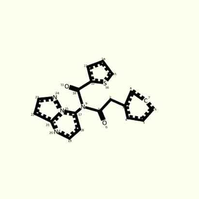 O=C(Cc1ccccc1)N(C(=O)c1cccs1)c1ccnc2ccnn12